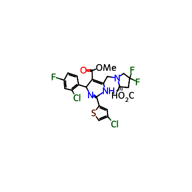 COC(=O)C1=C(CN2CC(F)(F)C[C@H]2C(=O)O)NC(c2cc(Cl)cs2)=NC1c1ccc(F)cc1Cl